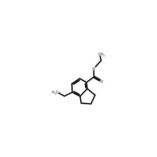 CCOC(=O)c1ccc(CC)c2c1CCC2